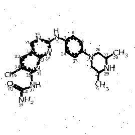 CC1CN(c2ccc(Nc3ncc4cc(Cl)c(NC(N)=O)nc4n3)cc2)CC(C)N1